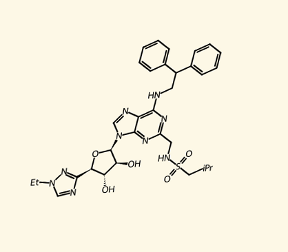 CCn1cnc([C@H]2O[C@@H](n3cnc4c(NCC(c5ccccc5)c5ccccc5)nc(CNS(=O)(=O)CC(C)C)nc43)[C@@H](O)[C@@H]2O)n1